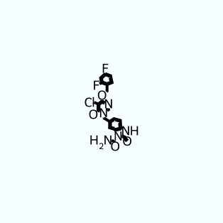 NC(=O)n1c(=O)[nH]c2ccc(Cn3cnc(OCc4ccc(F)cc4F)c(Cl)c3=O)cc21